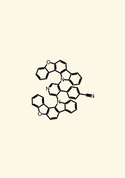 N#Cc1ccc(-c2c(-n3c4ccccc4c4ccc5oc6ccccc6c5c43)cncc2-n2c3ccccc3c3ccc4oc5ccccc5c4c32)cc1